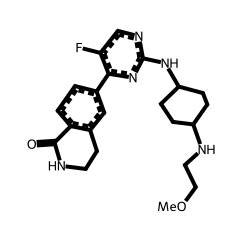 COCCNC1CCC(Nc2ncc(F)c(-c3ccc4c(c3)CCNC4=O)n2)CC1